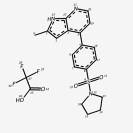 Cc1cc2c(-c3ccc(S(=O)(=O)N4CCCC4)cc3)ccnc2[nH]1.O=C(O)C(F)(F)F